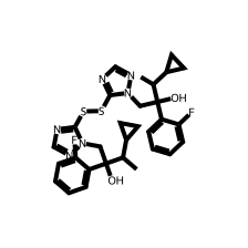 CC(C1CC1)C(O)(Cn1ncnc1SSc1ncnn1CC(O)(c1ccccc1F)C(C)C1CC1)c1ccccc1F